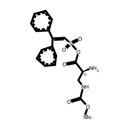 CC(C)(C)OC(=O)NC[C@H](N)C(=O)OS(=O)(=O)C=C(c1ccccc1)c1ccccc1